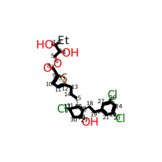 CCC(O)C(O)COC(=O)c1ccc(CCC[C@@H]2[C@@H](CCc3cc(Cl)cc(Cl)c3)[C@H](O)C[C@H]2Cl)s1